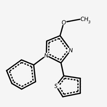 COc1cn(-c2ccccc2)c(-c2cccs2)n1